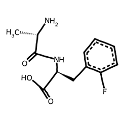 C[C@H](N)C(=O)N[C@@H](Cc1ccccc1F)C(=O)O